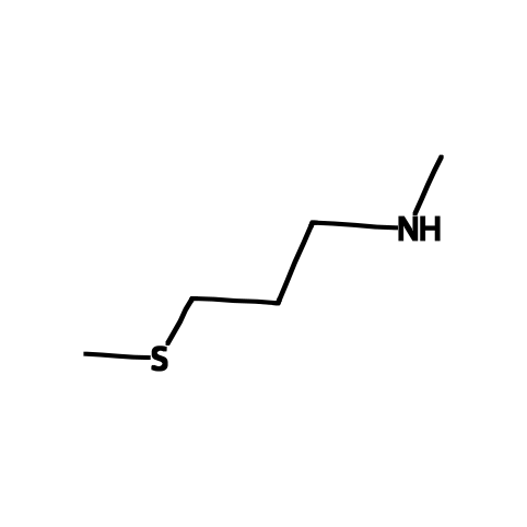 CNCCCSC